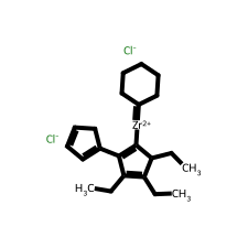 CCC1=C(CC)C(CC)[C]([Zr+2]=[C]2CCCCC2)=C1C1=CC=CC1.[Cl-].[Cl-]